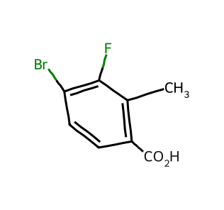 Cc1c(C(=O)O)ccc(Br)c1F